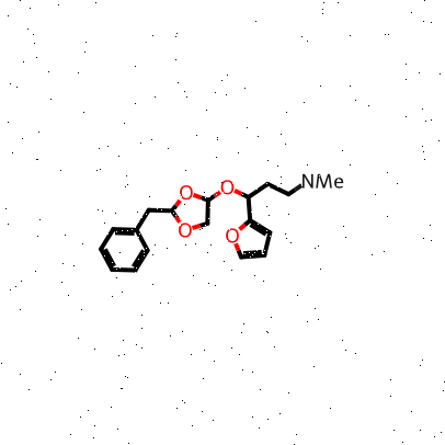 CNCCC(OC1COC(Cc2ccccc2)O1)c1ccco1